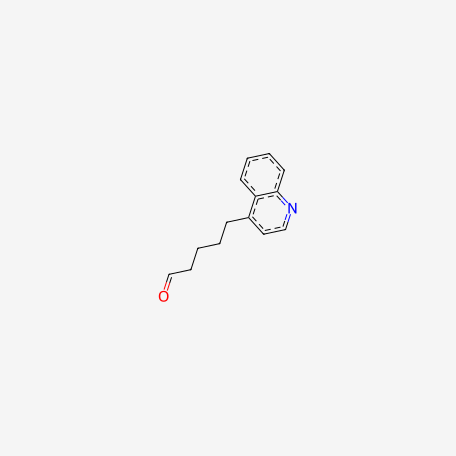 O=CCCCCc1ccnc2ccccc12